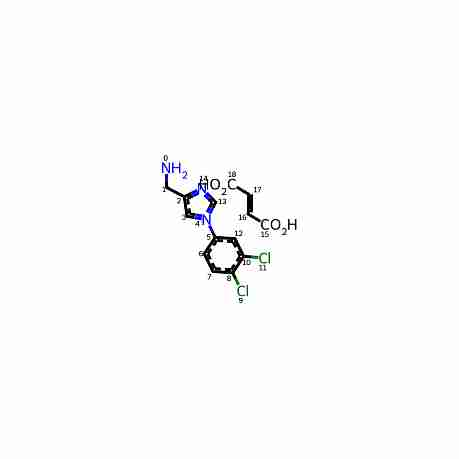 NCc1cn(-c2ccc(Cl)c(Cl)c2)cn1.O=C(O)C=CC(=O)O